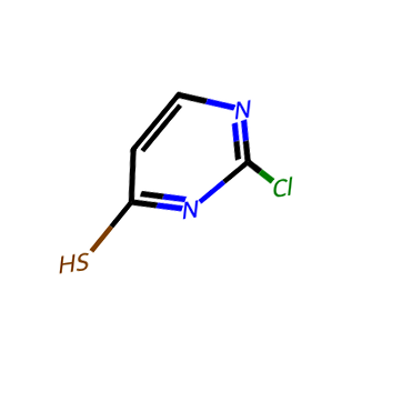 Sc1ccnc(Cl)n1